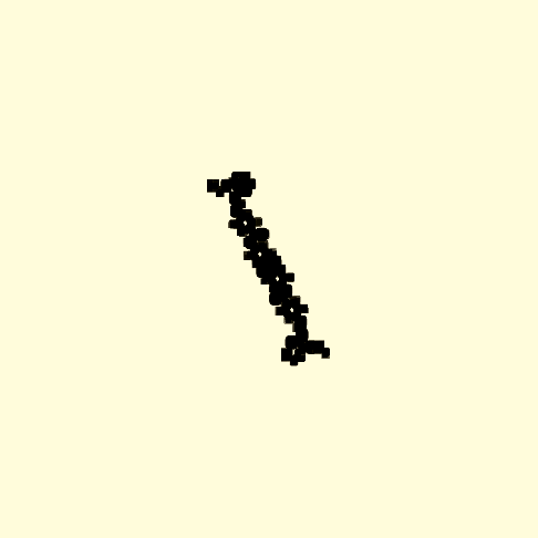 C=C(C)C(=O)OCOc1ccc(C(=O)Oc2ccc(S(=O)(=O)c3ccc(OC(=O)c4ccc(OCOC(=O)C(=C)C)cc4)cc3)cc2)cc1